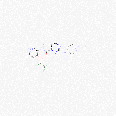 CN1CCC(Nc2nccc(C(=O)Nc3cnccc3OC(F)C(F)F)n2)CC1